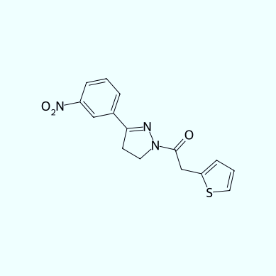 O=C(Cc1cccs1)N1CCC(c2cccc([N+](=O)[O-])c2)=N1